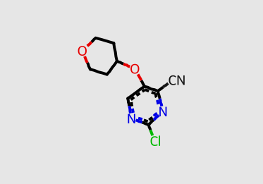 N#Cc1nc(Cl)ncc1OC1CCOCC1